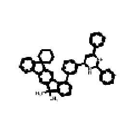 CC1(C)c2cc3c(cc2-c2c(-c4cccc(C5C=C(c6ccccc6)NC(c6ccccc6)N5)c4)cccc21)C1(CCCCC1)c1ccccc1-3